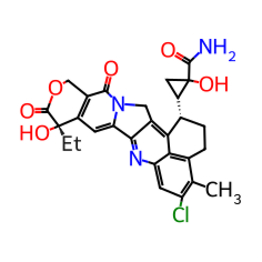 CC[C@@]1(O)C(=O)OCc2c1cc1n(c2=O)Cc2c-1nc1cc(Cl)c(C)c3c1c2[C@H](C1CC1(O)C(N)=O)CC3